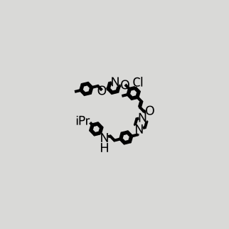 Cc1ccc(COc2ccc(Oc3c(C)cc(C=CC(=O)N4CCN(Cc5ccc(CCNc6ccc(C(C)C)cc6)cc5)CC4)cc3Cl)nc2)cc1